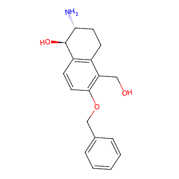 N[C@@H]1CCc2c(ccc(OCc3ccccc3)c2CO)[C@H]1O